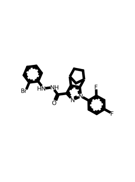 O=C(NNc1ccccc1Br)c1nn(-c2ccc(F)cc2F)c2c1C1CCC2C1